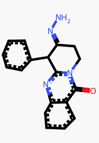 NN=C1CCn2c(nc3ccccc3c2=O)C1c1ccccc1